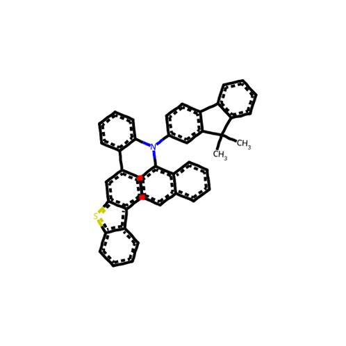 CC1(C)c2ccccc2-c2ccc(N(c3ccccc3-c3ccc4c(c3)sc3ccccc34)c3cccc4ccccc34)cc21